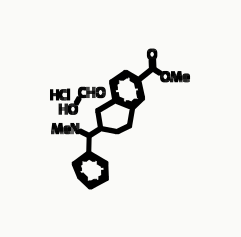 CNC(c1ccccc1)C1CCc2cc(C(=O)OC)ccc2C1.Cl.O=CO